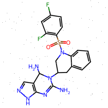 NC1=Nc2[nH]ncc2C(N)N1C1Cc2ccccc2N(S(=O)(=O)c2ccc(F)cc2F)C1